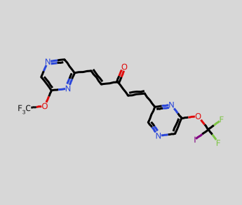 O=C(/C=C/c1cncc(OC(F)(F)F)n1)/C=C/c1cncc(OC(F)(F)I)n1